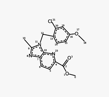 COC(=O)c1ccc2nc(C)n(Cc3ccc(OC)cc3Cl)c2n1